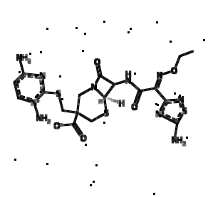 CCON=C(C(=O)NC1C(=O)N2CC(CSc3nc(N)cc[n+]3N)(C(=O)[O-])CS[C@H]12)c1nsc(N)n1